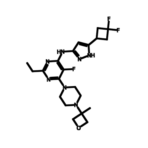 CCc1nc(Nc2cc(C3CC(F)(F)C3)[nH]n2)c(F)c(N2CCN(C3(C)COC3)CC2)n1